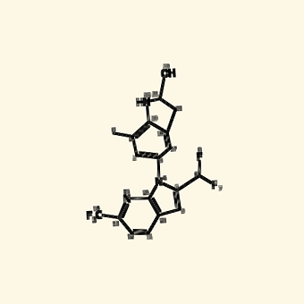 Cc1cc(-n2c(C(F)F)cc3ccc(C(F)(F)F)nc32)cc2c1NC(O)C2